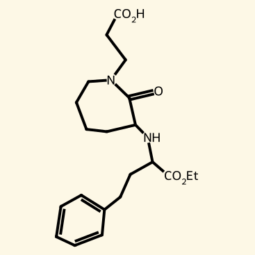 CCOC(=O)C(CCc1ccccc1)NC1CCCCN(CCC(=O)O)C1=O